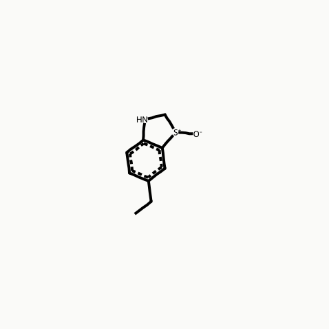 CCc1ccc2c(c1)[S+]([O-])CN2